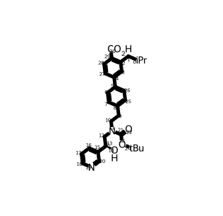 CC(C)Cc1cc(-c2ccc(CCN(C[C@@H](O)c3cccnc3)C(=O)OC(C)(C)C)cc2)ccc1C(=O)O